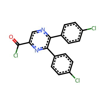 O=C(Cl)c1cnc(-c2ccc(Cl)cc2)c(-c2ccc(Cl)cc2)n1